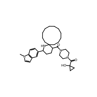 Cn1ccc2cc(C3CCC(C(=O)N4CCN(C(=O)C5(O)CC5)CC4)C4(CCCCCCCCCCC4)N3)ccc21